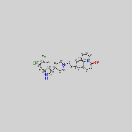 O=C1CCc2cc(CCN3CCC(c4c[nH]c5cc(Cl)c(F)cc45)CC3)cc3c2N1CCC3